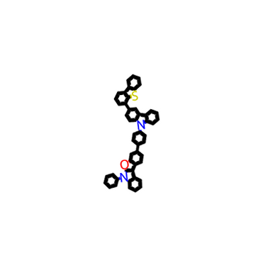 c1ccc(-n2c3ccccc3c3c4ccc(-c5ccc(-n6c7ccccc7c7cc(-c8cccc9c8sc8ccccc89)ccc76)cc5)cc4oc32)cc1